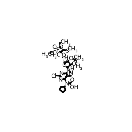 CCOP(=O)(OCC)C(C)(CSC)OC[C@H]1O[C@@H](n2ncc3c(N(C(=O)O)C4CCCC4)nc(Cl)nc32)[C@@H]2OC(C)(C)O[C@@H]21